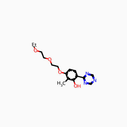 CCOCCOCCOc1ccc(-c2ncncn2)c(O)c1C